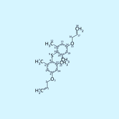 C=CCOc1cc(C)c(Sc2c(C)cc(OCC=C)cc2C)c(C)c1